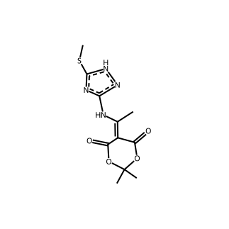 CSc1nc(NC(C)=C2C(=O)OC(C)(C)OC2=O)n[nH]1